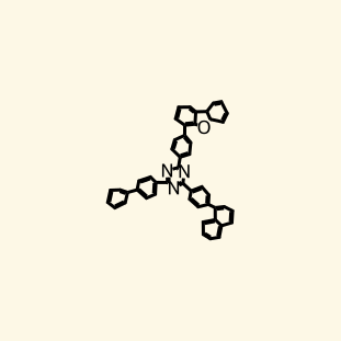 C1=CC2Oc3c(-c4ccc(-c5nc(-c6ccc(-c7ccccc7)cc6)nc(-c6ccc(-c7cccc8ccccc78)cc6)n5)cc4)cccc3C2C=C1